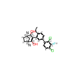 CCc1ccc(-c2ccc(Cl)c(F)c2Cl)cc1C1=C(O)[C@H]2CC[C@H](C2)C1O